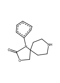 O=C1OCC2(CCNCC2)N1c1ccccc1